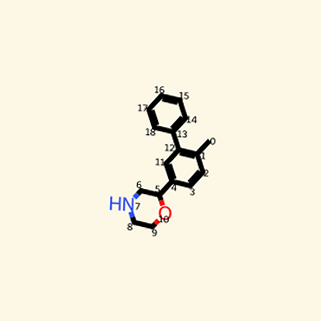 Cc1ccc(C2CNCCO2)cc1-c1ccccc1